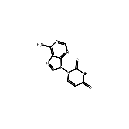 Nc1ncnc2c1ncn2-n1ccc(=O)[nH]c1=O